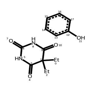 CCC1(CC)C(=O)NC(=O)NC1=O.Oc1ccccc1